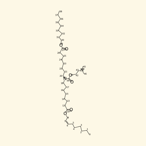 CCCCCC/C=C\COC(=O)CCCCCCCN(CCCCCCCC(=O)OCCCCCCCCC)C(=O)OCCN(C)C